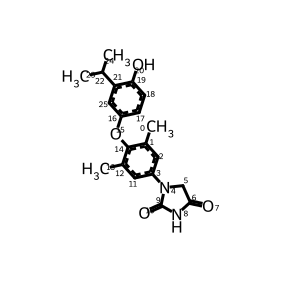 Cc1cc(N2CC(=O)NC2=O)cc(C)c1Oc1ccc(O)c(C(C)C)c1